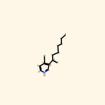 CCCCCCC(C)c1cnccc1C